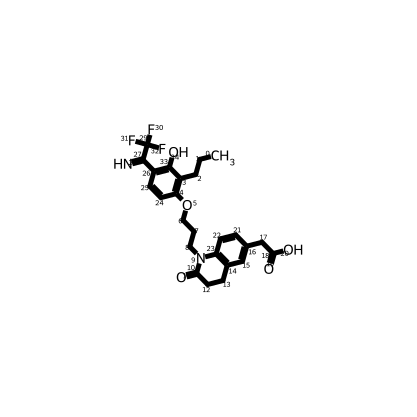 CCCc1c(OCCCN2C(=O)CCc3cc(CC(=O)O)ccc32)ccc(C(=N)C(F)(F)F)c1O